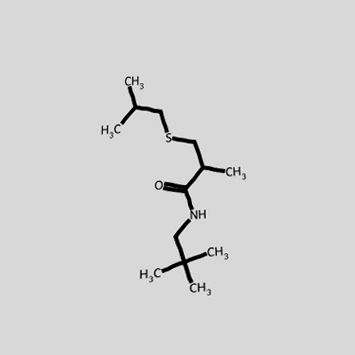 CC(C)CSCC(C)C(=O)NCC(C)(C)C